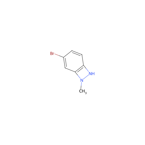 Cn1[nH]c2ccc(Br)cc21